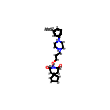 CSc1cccc(N2CCN(CCCON3C(=O)CC4(CCCC4)CC3=O)CC2)c1